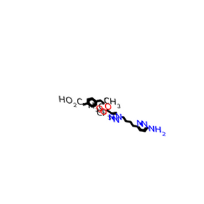 CC(C)(Cc1ccc(CC(=O)O)cc1OC(F)(F)F)OC(=O)c1cn(CCCCc2ccc(N)nn2)nn1